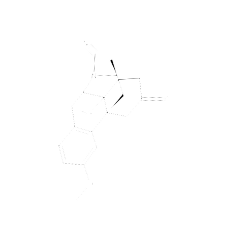 COc1ccc2c(c1)[C@]13CCN(C#N)[C@H](C2)C1(OC)[C@@H](C)CC(=O)C3